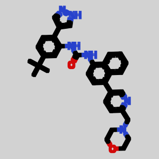 CC(C)(C)c1ccc(-c2cn[nH]c2)c(NC(=O)Nc2ccc(-c3ccc(CN4CCOCC4)nc3)c3ccccc23)c1